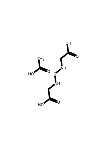 CC(=O)O.O=C(O)CNSNCC(=O)O